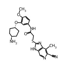 COc1ccc(NC(=O)CSc2nc3c(C)c(C#N)ncc3[nH]2)cc1O[C@H]1CC[C@H](N)CC1